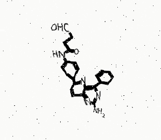 Nc1nc(-c2ccccc2)c2nc(-c3ccc(NC(=O)CCC=O)cc3)ccc2n1